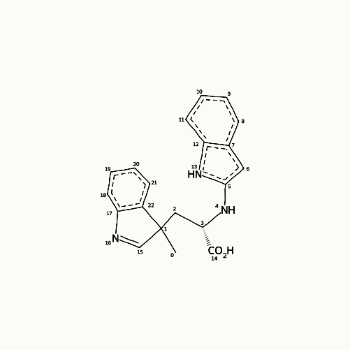 CC1(C[C@H](Nc2cc3ccccc3[nH]2)C(=O)O)C=Nc2ccccc21